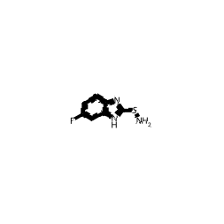 NSc1nc2ccc(F)cc2[nH]1